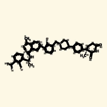 Cc1nnc(N[C@H](C)c2cccc(C(F)F)c2F)c2cc(-c3cccc(CN4CCC(c5ccc([C@@]6(C)CCC(=O)NC6=O)cc5)CC4)c3F)ncc12